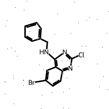 Clc1nc(NCc2ccccc2)c2cc(Br)ccc2n1